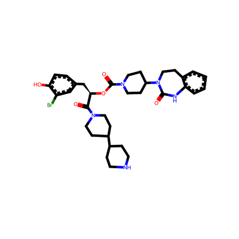 O=C(O[C@H](Cc1ccc(O)c(Br)c1)C(=O)N1CCC(C2CCNCC2)CC1)N1CCC(N2CCc3ccccc3NC2=O)CC1